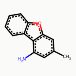 Cc1cc(N)c2c(c1)oc1ccccc12